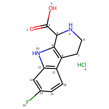 Cl.O=C(O)C1NCCc2c1[nH]c1cc(F)ccc21